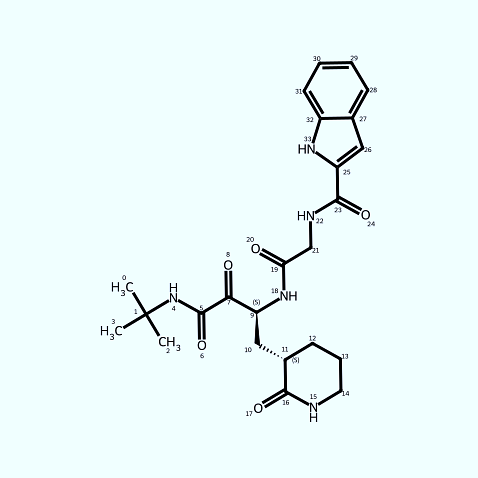 CC(C)(C)NC(=O)C(=O)[C@H](C[C@@H]1CCCNC1=O)NC(=O)CNC(=O)c1cc2ccccc2[nH]1